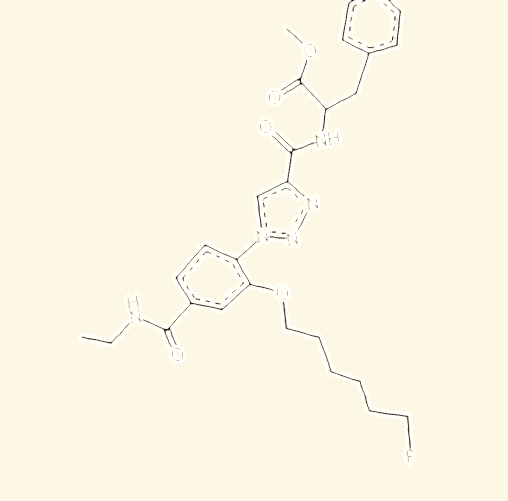 CCNC(=O)c1ccc(-n2cc(C(=O)NC(Cc3ccccc3)C(=O)OC)nn2)c(OCCCCCCF)c1